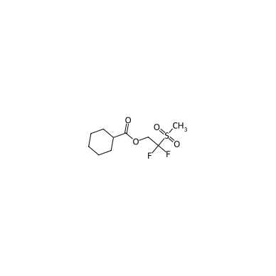 CS(=O)(=O)C(F)(F)COC(=O)C1CCCCC1